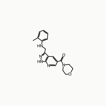 Cc1ccccc1NCc1n[nH]c2ncc(C(=O)N3CCOCC3)cc12